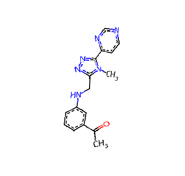 CC(=O)c1cccc(NCc2nnc(-c3ccncn3)n2C)c1